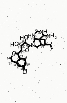 CCCCC12C(F)CN([C@@H]3O[C@H]([C@@H]4OCCc5cc(Cl)ccc54)[C@@H](O)[C@H]3O)C1NCNC2N